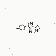 Cc1ccc(-c2cnc(C3CCCN3C)[nH]2)cc1